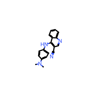 CN(C)c1ccc(Nc2c(C#N)cnc3ccccc23)cc1